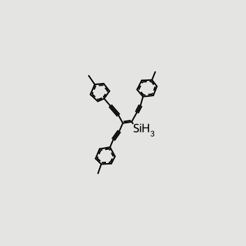 Cc1ccc(C#CC([SiH3])=C(C#Cc2ccc(C)cc2)C#Cc2ccc(C)cc2)cc1